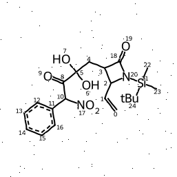 C=CC1C(CC(O)(O)C(=O)C(c2ccccc2)[N+](=O)[O-])C(=O)N1[Si](C)(C)C(C)(C)C